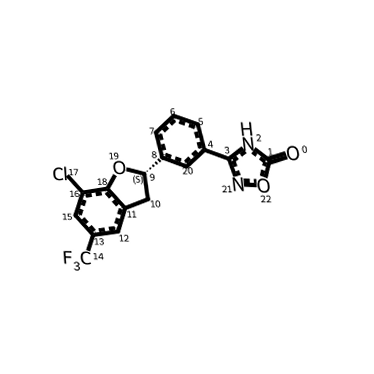 O=c1[nH]c(-c2cccc([C@@H]3Cc4cc(C(F)(F)F)cc(Cl)c4O3)c2)no1